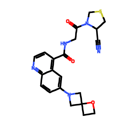 N#CC1CSCN1C(=O)CNC(=O)c1ccnc2ccc(N3CC4(CCO4)C3)cc12